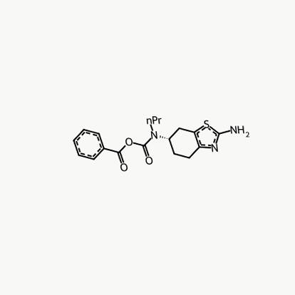 CCCN(C(=O)OC(=O)c1ccccc1)[C@H]1CCc2nc(N)sc2C1